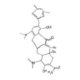 Cc1cc(C)cc(-c2cc(N(C)C)c3c(c2O)C(=O)C2=C(O)C4(O)CC(C(N)=O)=C(O)C(N(C)C)C4CC2C3)c1